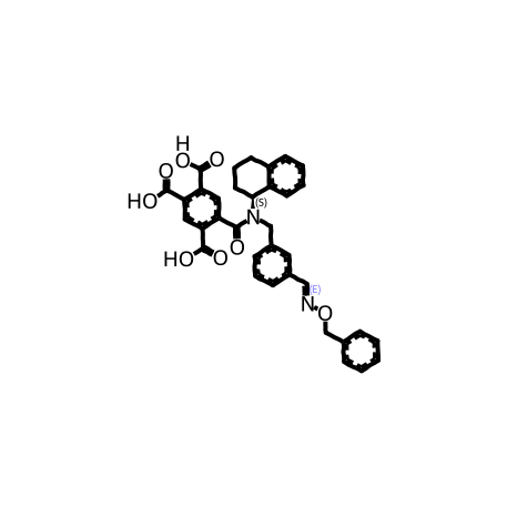 O=C(O)c1cc(C(=O)O)c(C(=O)N(Cc2cccc(/C=N/OCc3ccccc3)c2)[C@H]2CCCc3ccccc32)cc1C(=O)O